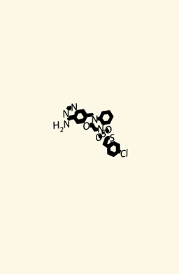 Nc1ncnc2cc(CN3C(=O)CN(S(=O)(=O)c4cc5ccc(Cl)cc5s4)C4CCCCC43)ccc12